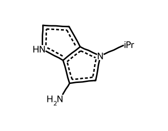 CC(C)n1cc(N)c2[nH]ccc21